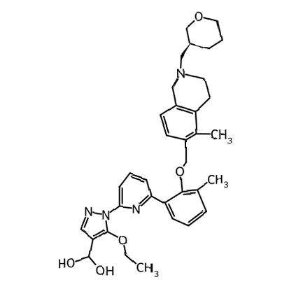 CCOc1c(C(O)O)cnn1-c1cccc(-c2cccc(C)c2OCc2ccc3c(c2C)CCN(C[C@@H]2CCCOC2)C3)n1